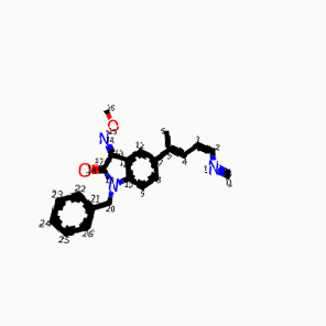 C=N/C=C\C=C(/C)c1ccc2c(c1)/C(=N\OC)C(=O)N2Cc1ccccc1